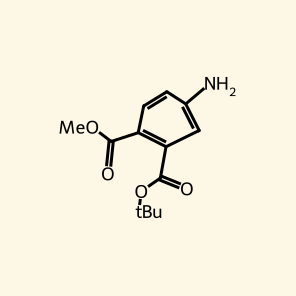 COC(=O)c1ccc(N)cc1C(=O)OC(C)(C)C